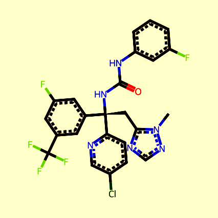 Cn1ncnc1C[C@](NC(=O)Nc1cccc(F)c1)(c1cc(F)cc(C(F)(F)F)c1)c1ccc(Cl)cn1